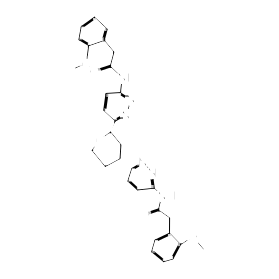 COc1ccccc1CC(=O)Nc1ccc([C@@H]2CCC[C@@H](c3ccc(NC(=O)Cc4ccccc4OC)nn3)C2)nn1